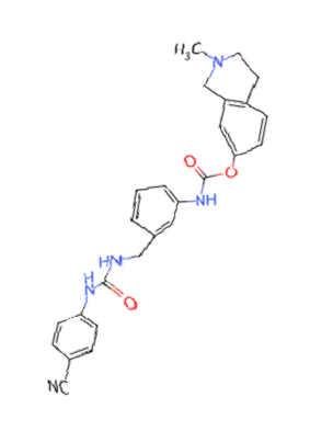 CN1CCc2ccc(OC(=O)Nc3cccc(CNC(=O)Nc4ccc(C#N)cc4)c3)cc2C1